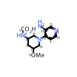 COC1CC(NC(=O)O)CN(c2ccncc2N)C1